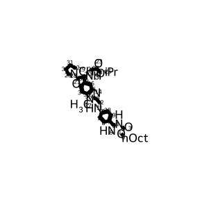 CCCCCCCCOC(=O)NC(=N)c1ccc(NCc2nc3cc(C(C)(NCC(=O)OC(C)C)C(=O)N4CCCC4)ccc3n2C)cc1